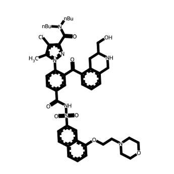 CCCCN(CCCC)C(=O)c1nn(-c2ccc(C(=O)NS(=O)(=O)c3ccc4cccc(OCCN5CCOCC5)c4c3)cc2C(=O)c2cccc3c2CC(CO)NC3)c(C)c1Cl